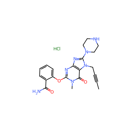 CC#CCn1c(N2CCNCC2)nc2nc(Oc3ccccc3C(N)=O)n(C)c(=O)c21.Cl